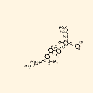 Cc1c(COc2cc(OCc3cncc(C#N)c3)c(CNC[C@@H](O)CC(=O)O)cc2Cl)cccc1-c1cccc(-c2ccc(OCCNC[C@@H](O)CC(=O)O)c(C(N)=O)c2)c1C